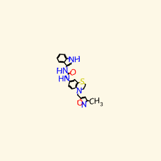 Cc1cc(CN2CCSc3cc(NC(=O)Nc4c[nH]c5ccccc45)ccc32)on1